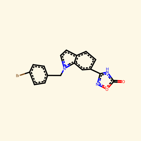 O=c1[nH]c(-c2ccc3ccn(Cc4ccc(Br)cc4)c3c2)no1